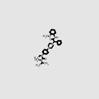 C=CN(C(=O)N(N)C(C)C)c1ccc(N2CCN(C(C(=O)Nc3ccccc3OC)c3ccccc3)CC2)cc1